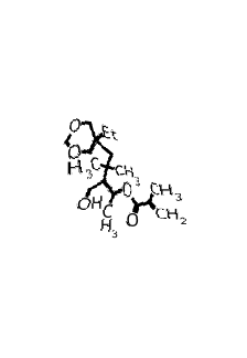 C=C(C)C(=O)OC(C)C(CO)C(C)(C)CC1(CC)COCOC1